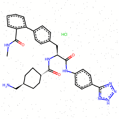 CNC(=O)c1ccccc1-c1ccc(C[C@H](NC(=O)[C@H]2CC[C@H](CN)CC2)C(=O)Nc2ccc(-c3nn[nH]n3)cc2)cc1.Cl